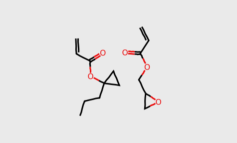 C=CC(=O)OC1(CCC)CC1.C=CC(=O)OCC1CO1